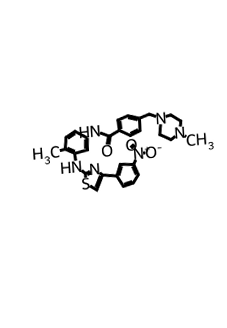 Cc1ccc(NC(=O)c2ccc(CN3CCN(C)CC3)cc2)cc1Nc1nc(-c2cccc([N+](=O)[O-])c2)cs1